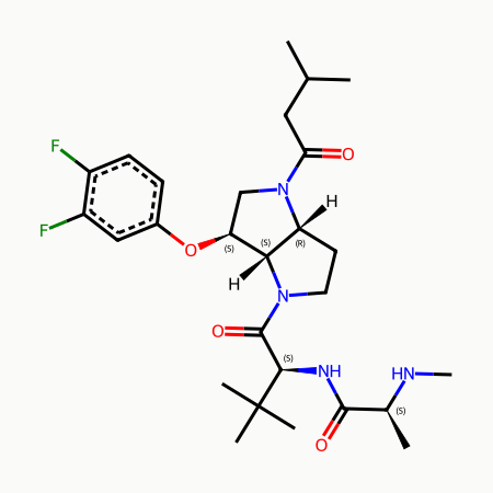 CN[C@@H](C)C(=O)N[C@H](C(=O)N1CC[C@@H]2[C@H]1[C@@H](Oc1ccc(F)c(F)c1)CN2C(=O)CC(C)C)C(C)(C)C